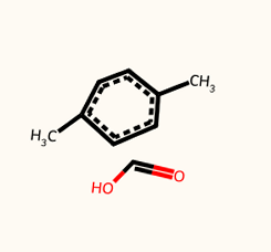 Cc1ccc(C)cc1.O=CO